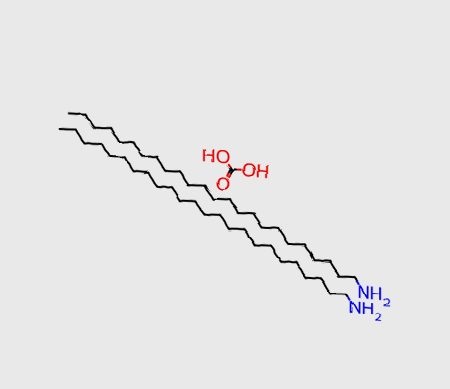 CCCCCCCCCCCCCCCCCCCCCCCCN.CCCCCCCCCCCCCCCCCCCCCCCCN.O=C(O)O